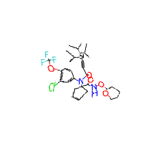 CC(C)[Si](C#CC(=O)N(c1ccc(OC(F)(F)F)c(Cl)c1)C1(C(=O)NOC2CCCCO2)CCCC1)(C(C)C)C(C)C